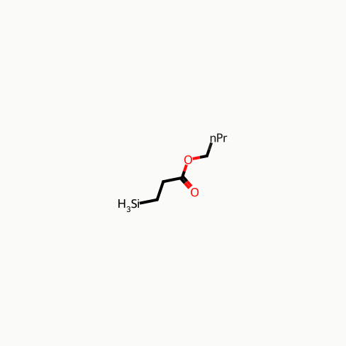 CCCCOC(=O)CC[SiH3]